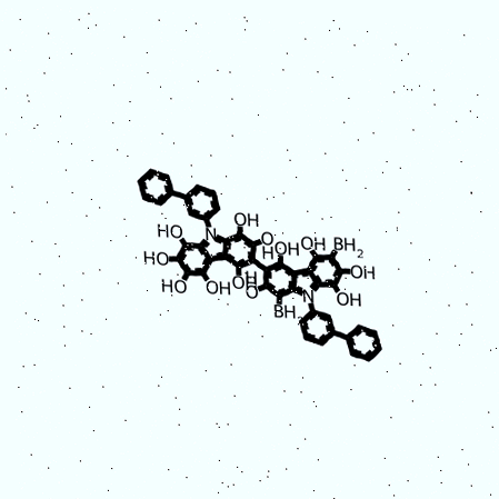 Bc1c(O)c(O)c2c(c1O)c1c(O)c(-c3c(O)c(O)c4c(c3O)c3c(O)c(O)c(O)c(O)c3n4-c3cccc(-c4ccccc4)c3)c(O)c(B)c1n2-c1cccc(-c2ccccc2)c1